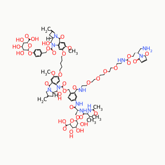 C=C1C[C@H]2[C@H](O)N(C(=O)OCc3ccc(O[C@@H]4O[C@H](C(=O)O)[C@@H](O)[C@H](O)[C@H]4O)cc3)c3cc(OCCCCCOc4cc5c(cc4OC)C(=O)N4CC(=C)C[C@H]4[C@H](O)N5C(=O)OCc4ccc(NC(=O)[C@H](CO[C@@H]5O[C@H](C(=O)O)[C@@H](O)[C@H](O)[C@H]5O)NC(=O)[C@@H](NC(C)=O)C(C)C)cc4C(=O)NCCOCCOCCOCCOCCNC(=O)OCC[C@H](CN)N4C(=O)C=CC4=O)c(OC)cc3C(=O)N2C1